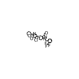 O=Cc1nn(Cc2ccccc2C(F)(F)F)c2c1CN(c1cnn(C3CCCCO3)c(=O)c1Cl)CC2